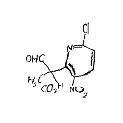 CC(C=O)(C(=O)O)c1nc(Cl)ccc1[N+](=O)[O-]